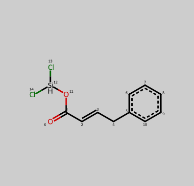 O=C(C=CCc1ccccc1)O[SiH](Cl)Cl